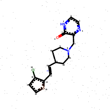 O=c1[nH]ccnc1CN1CCC(/C=C/c2sccc2Cl)CC1